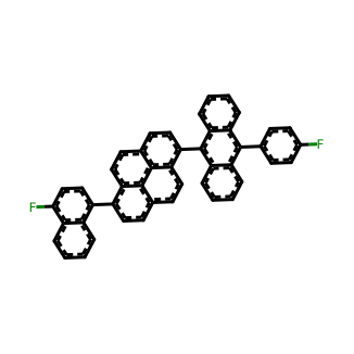 Fc1ccc(-c2c3ccccc3c(-c3ccc4ccc5c(-c6ccc(F)c7ccccc67)ccc6ccc3c4c65)c3ccccc23)cc1